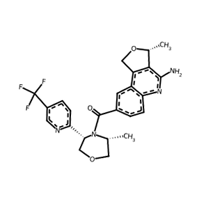 C[C@@H]1COC[C@H](c2ccc(C(F)(F)F)cn2)N1C(=O)c1ccc2nc(N)c3c(c2c1)CO[C@@H]3C